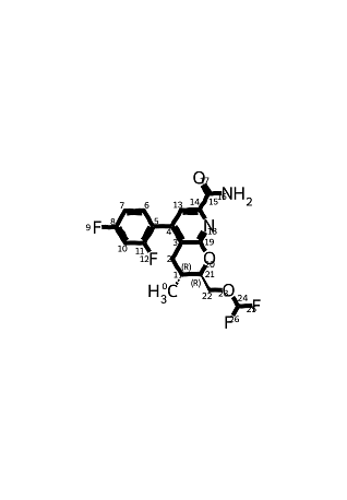 C[C@@H]1Cc2c(-c3ccc(F)cc3F)cc(C(N)=O)nc2O[C@H]1COC(F)F